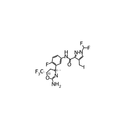 C[C@@]1(c2cc(NC(=O)c3nn(C(F)F)cc3CI)ccc2F)C[C@@H](C(F)(F)F)OC(N)=N1